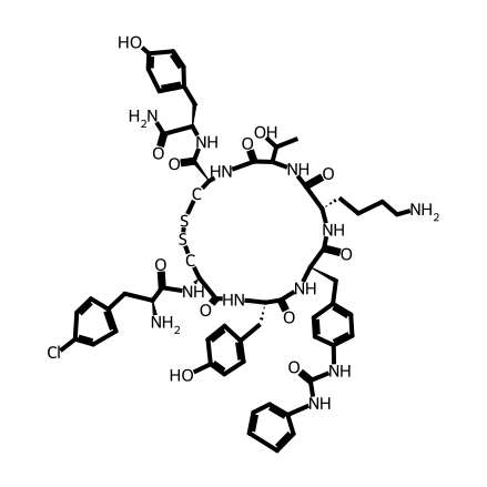 CC(O)C1NC(=O)[C@H](CCCCN)NC(=O)[C@@H](Cc2ccc(NC(=O)Nc3ccccc3)cc2)NC(=O)[C@H](Cc2ccc(O)cc2)NC(=O)[C@H](NC(=O)[C@@H](N)Cc2ccc(Cl)cc2)CSSC[C@@H](C(=O)N[C@H](Cc2ccc(O)cc2)C(N)=O)NC1=O